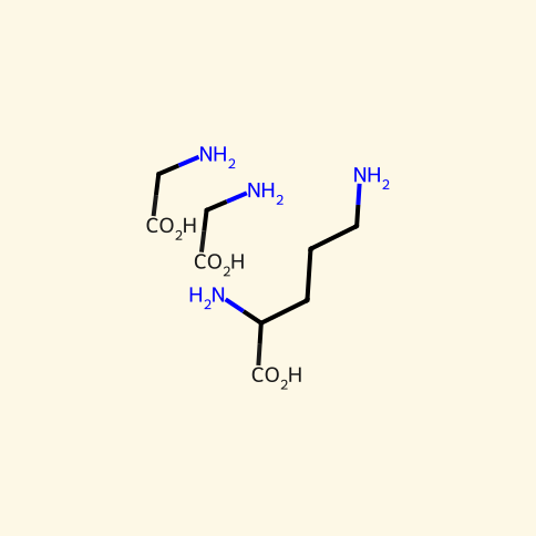 NCC(=O)O.NCC(=O)O.NCCCC(N)C(=O)O